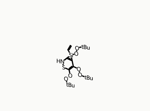 C=C[Si]1(OOC(C)(C)C)C2=C1C(OOC(C)(C)C)=C(OOC(C)(C)C)SN2